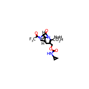 O=C(NC1CC1)OCC1=C(C(=O)O)N2C(=O)[C@@H]3[C@H]2[C@H](C1)CN3C(=O)C(F)(F)F.[NaH]